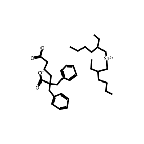 CCCCC(CC)[CH2][Sn+2][CH2]C(CC)CCCC.O=C([O-])CCCC(Cc1ccccc1)(Cc1ccccc1)C(=O)[O-]